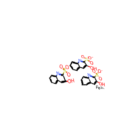 O=S(=O)([O-])c1nc2ccccc2cc1O.O=S(=O)([O-])c1nc2ccccc2cc1O.O=S(=O)([O-])c1nc2ccccc2cc1O.[Fe+3]